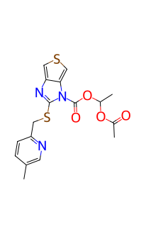 CC(=O)OC(C)OC(=O)n1c(SCc2ccc(C)cn2)nc2cscc21